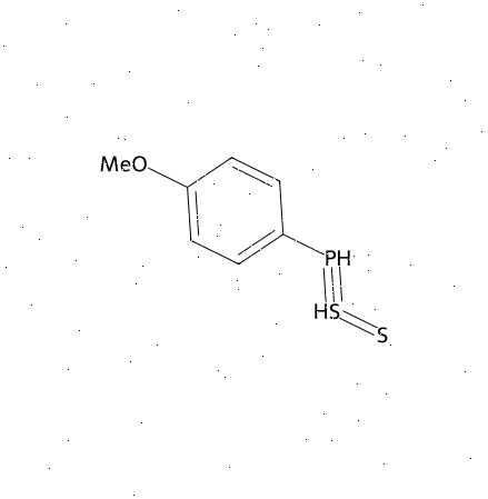 COc1ccc([PH]#[SH]=S)cc1